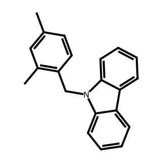 Cc1ccc(Cn2c3ccccc3c3ccccc32)c(C)c1